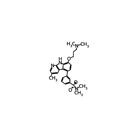 Cc1cnc2[nH]c3c(OCCCN(C)C)ccc(-c4cccc(S(=O)(=O)N(C)C)c4)c3c2c1